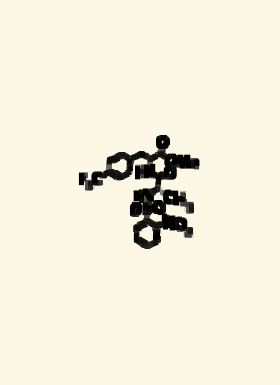 COC(=O)[C@H](Cc1ccc(C(F)(F)F)cc1)NC(=O)[C@H](C)NS(=O)(=O)c1ccccc1[N+](=O)[O-]